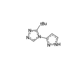 CC(C)(C)c1nncn1-c1cc[nH]n1